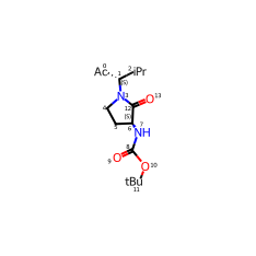 CC(=O)[C@H](C(C)C)N1CC[C@H](NC(=O)OC(C)(C)C)C1=O